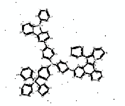 c1ccc(-c2c3c4cc(-c5ccc(N(c6ccc(-c7ccc8c(c7)c7ccccc7n8-c7ccccc7)cc6)c6ccc([Si](c7ccccc7)(c7ccccc7)c7ccccc7)cc6)cc5)ccc4c4ccccc4c3n3ccccc23)cc1